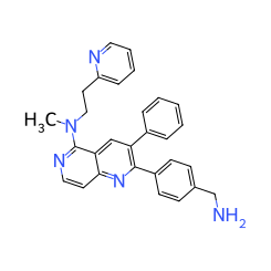 CN(CCc1ccccn1)c1nccc2nc(-c3ccc(CN)cc3)c(-c3ccccc3)cc12